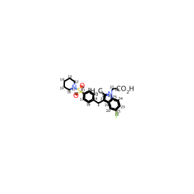 Cc1c(Cc2ccc(S(=O)(=O)N3CCCCC3)cc2)c2cc(F)ccc2n1CC(=O)O